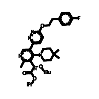 Cc1ncc(-c2ccc(OCCc3ccc(F)cc3)nn2)c(N2CCC(C)(C)CC2)c1[C@H](OC(C)(C)C)C(=O)OC(C)C